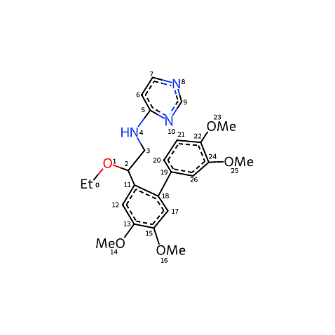 CCOC(CNc1ccncn1)c1cc(OC)c(OC)cc1-c1ccc(OC)c(OC)c1